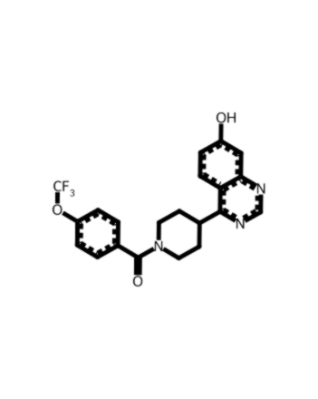 O=C(c1ccc(OC(F)(F)F)cc1)N1CCC(c2ncnc3cc(O)ccc23)CC1